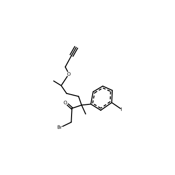 C#CCOC(C)CCC(C)(C(=O)CBr)c1cccc(I)c1